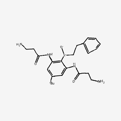 CC(C)(C)c1cc(NC(=O)CCN)c([S+]([O-])CCc2ccccc2)c(NC(=O)CCN)c1